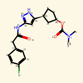 CCN(C)C(=O)O[C@@H]1CC[C@H](c2cc(NC(=O)Cc3ccc(F)cc3)n[nH]2)C1